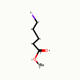 CC(C)(C)OC(=O)CCCCI